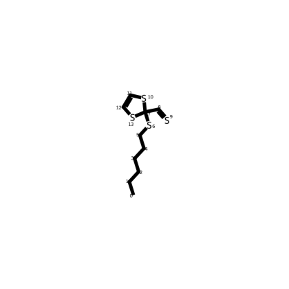 CCCCCCSC1(C=S)SC=CS1